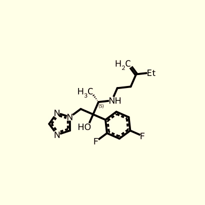 C=C(CC)CCN[C@@H](C)C(O)(Cn1cncn1)c1ccc(F)cc1F